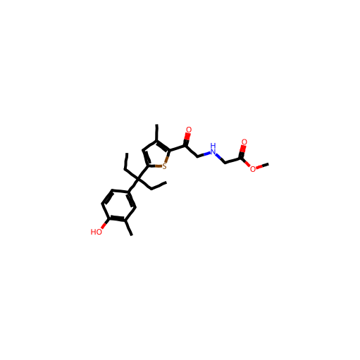 CCC(CC)(c1ccc(O)c(C)c1)c1cc(C)c(C(=O)CNCC(=O)OC)s1